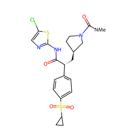 CNC(=O)N1CC[C@H](C[C@@H](C(=O)Nc2ncc(Cl)s2)c2ccc(S(=O)(=O)C3CC3)cc2)C1